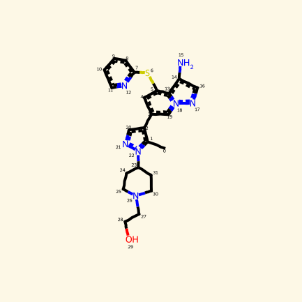 Cc1c(-c2cc(Sc3ccccn3)c3c(N)cnn3c2)cnn1C1CCN(CCO)CC1